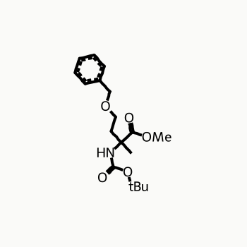 COC(=O)C(C)(CCOCc1ccccc1)NC(=O)OC(C)(C)C